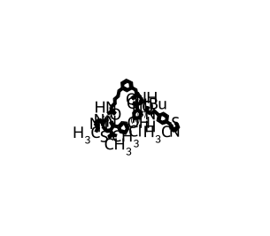 Cc1ncsc1-c1ccc(CNC(=O)[C@@H]2C[C@@H](O)CN2C(=O)[C@@H](NC(=O)Cc2cccc(CCCCNC(=O)C[C@@H]3N=C(c4ccc(Cl)cc4)c4c(sc(C)c4C)-n4c(C)nnc43)c2)C(C)(C)C)cc1